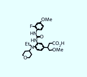 CCN(c1ccc(C(COC)CC(=O)O)cc1NC(=O)Nc1ccc(OC)cc1F)C1CCOCC1